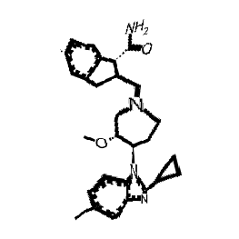 CO[C@@H]1CN(CC2Cc3c[c]ccc3[C@@H]2C(N)=O)CC[C@H]1n1c(C2CC2)nc2cc(C)ccc21